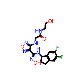 O=C(CNc1nonc1/C(=N/O)NC1CCc2cc(F)c(F)cc21)NCCO